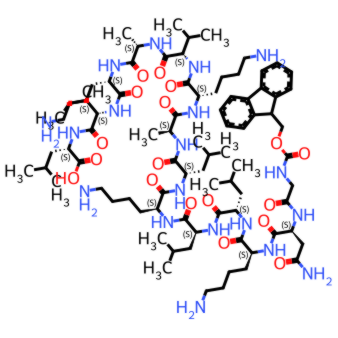 CC[C@H](C)[C@H](NC(=O)[C@H](CCCCN)NC(=O)[C@H](C)NC(=O)[C@@H](NC(=O)[C@H](CCCCN)NC(=O)[C@H](C)NC(=O)[C@H](CC(C)C)NC(=O)[C@H](CCCCN)NC(=O)[C@H](CC(C)C)NC(=O)[C@H](CC(C)C)NC(=O)[C@H](CCCCN)NC(=O)[C@H](CC(N)=O)NC(=O)CNC(=O)OCC1c2ccccc2-c2ccccc21)C(C)C)C(=O)N[C@@H](CC(C)C)C(=O)O